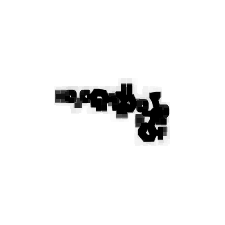 O=C(O)c1ccc(N2C[C@H]3C[C@H](OCc4c(-c5c(F)cccc5F)noc4C4CC4)C[C@H]3C2)nc1